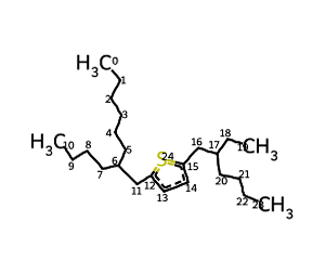 CCCCCCC(CCCC)Cc1ccc(CC(CC)CCCC)s1